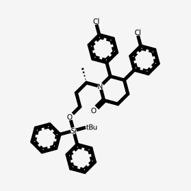 C[C@@H](CCO[Si](c1ccccc1)(c1ccccc1)C(C)(C)C)N1C(=O)CCC(c2cccc(Cl)c2)C1c1ccc(Cl)cc1